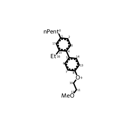 CCCCCc1ccc(-c2ccc(OCCOC)cc2)c(CC)c1